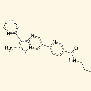 CCCCNC(=O)c1ccc(-c2cnc3c(-c4ccccn4)c(N)nn3c2)nc1